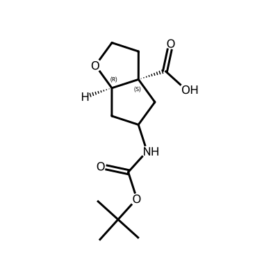 CC(C)(C)OC(=O)NC1C[C@H]2OCC[C@@]2(C(=O)O)C1